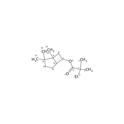 CCC(C)(C)C(=O)OC1CC2(C)C1CCC2(C)C